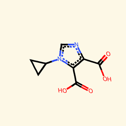 O=C(O)c1ncn(C2CC2)c1C(=O)O